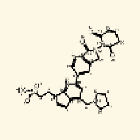 CS(=O)(=O)CCn1ccc2c(CN3CCCC3)cc(-c3ccc4c(c3)CN(N3C(=O)CCCC3=O)C4=O)nc21